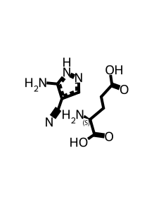 N#Cc1cn[nH]c1N.N[C@@H](CCC(=O)O)C(=O)O